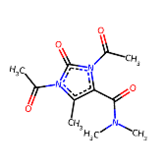 CC(=O)n1c(C)c(C(=O)N(C)C)n(C(C)=O)c1=O